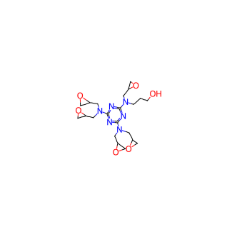 OCCCN(CC1CO1)c1nc(N(CC2CO2)CC2CO2)nc(N(CC2CO2)CC2CO2)n1